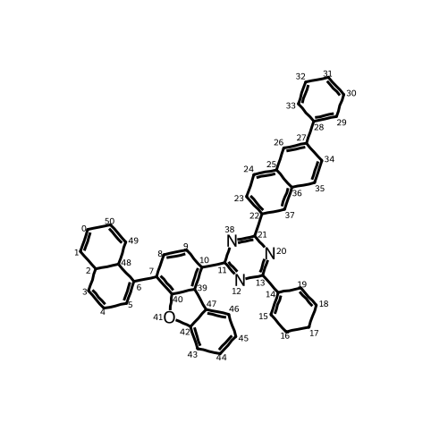 C1=CC2C=CC=C(c3ccc(-c4nc(C5=CCCC=C5)nc(-c5ccc6cc(-c7ccccc7)ccc6c5)n4)c4c3oc3ccccc34)C2C=C1